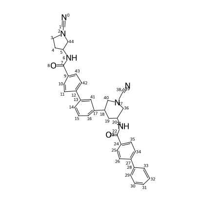 N#CN1CCC(NC(=O)c2ccc(-c3cccc(C4CC(NC(=O)c5ccc(-c6ccccc6)cc5)CN(C#N)C4)c3)cc2)C1